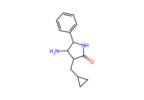 NC1C(CC2CC2)C(=O)NC1c1ccccc1